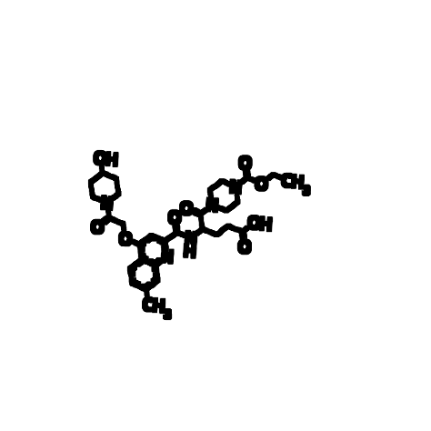 CCOC(=O)N1CCN(C(=O)C(CCC(=O)O)NC(=O)c2cc(OCC(=O)N3CCC(O)CC3)c3ccc(C)cc3n2)CC1